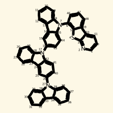 c1cnc2sc3c(-n4c5ccccc5c5cc(-n6c7ccccc7c7cc(-n8c9ccccc9c9ccccc98)ccc76)ccc54)cccc3c2c1